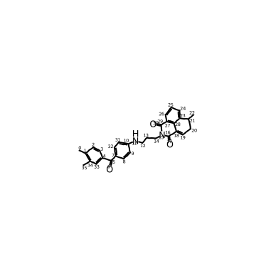 Cc1ccc(C(=O)c2ccc(NCCCN3C(=O)C4=CCC(C)c5cccc(c54)C3=O)cc2)cc1C